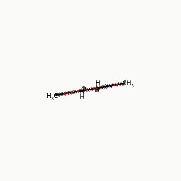 CCCCCCCCCCCCCCCCCCNC(=O)CCCCCCCCC(=O)NCCCCCCCCCCCCCCCCCC